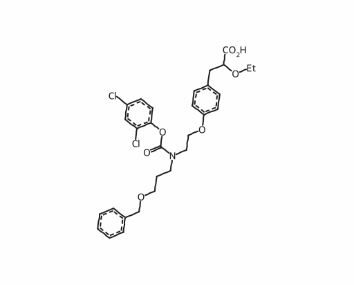 CCOC(Cc1ccc(OCCN(CCCOCc2ccccc2)C(=O)Oc2ccc(Cl)cc2Cl)cc1)C(=O)O